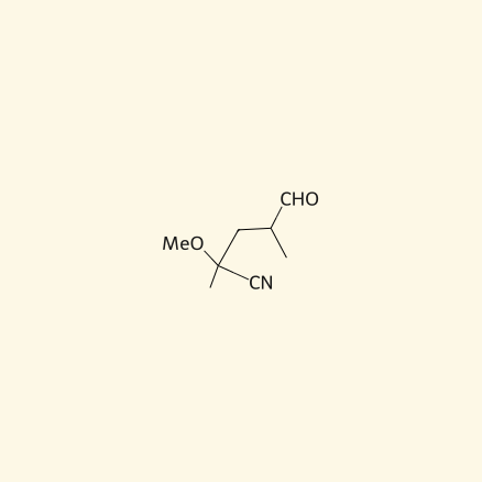 COC(C)(C#N)CC(C)C=O